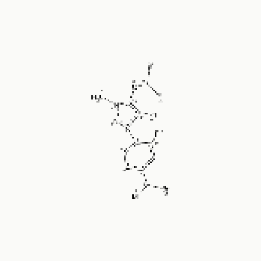 Cn1nc(-c2ccc(C(Br)Br)cc2F)c(Cl)c1OC(F)F